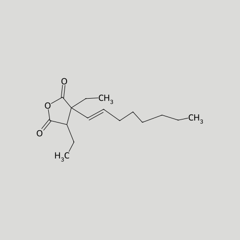 CCCCCCC=CC1(CC)C(=O)OC(=O)C1CC